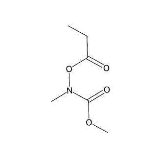 CCC(=O)ON(C)C(=O)OC